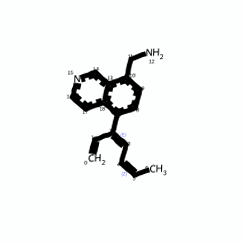 C=C/C(=C\C=C/C)c1ccc(CN)c2cnccc12